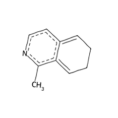 Cc1nccc2c1=CCCC=2